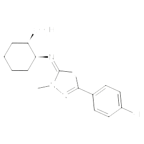 Cn1nc(-c2ccc(Cl)cc2)s/c1=N/[C@H]1CCCC[C@H]1C(=O)O